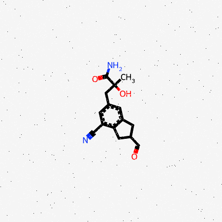 CC(O)(Cc1cc(C#N)c2c(c1)CC(C=O)C2)C(N)=O